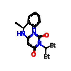 CCC(CC)n1c(=O)cc(N[C@@H](C)c2ccccc2)[nH]c1=O